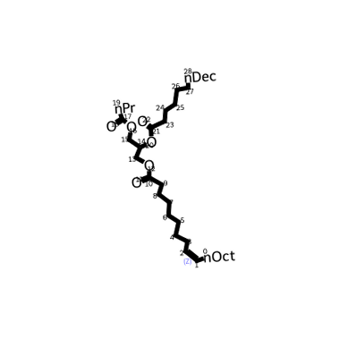 CCCCCCCC/C=C\CCCCCCCC(=O)OCC(COC(=O)CCC)OC(=O)CCCCCCCCCCCCCCC